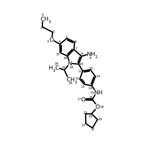 CCCOc1ccc2c(N)c(-c3ccc(NC(=O)OC4CCCC4)cc3)n(C(C)C)c2c1